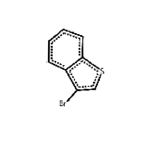 Brc1csc2ccc[c]c12